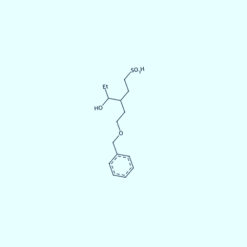 CCC(O)C(CCOCc1ccccc1)CCS(=O)(=O)O